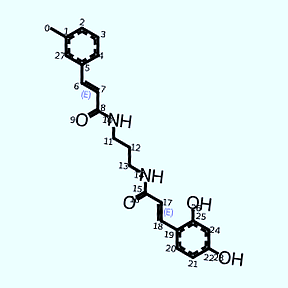 Cc1cccc(/C=C/C(=O)NCCCNC(=O)/C=C/c2ccc(O)cc2O)c1